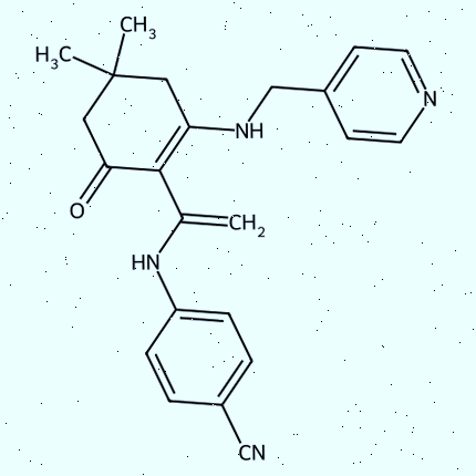 C=C(Nc1ccc(C#N)cc1)C1=C(NCc2ccncc2)CC(C)(C)CC1=O